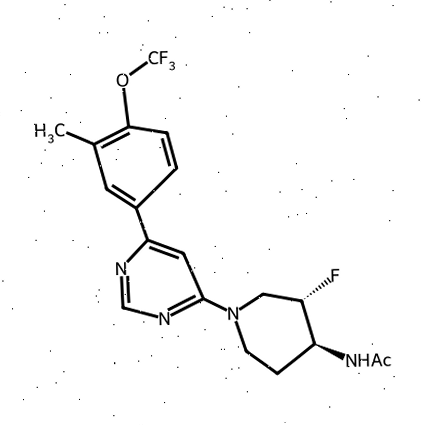 CC(=O)N[C@H]1CCN(c2cc(-c3ccc(OC(F)(F)F)c(C)c3)ncn2)C[C@@H]1F